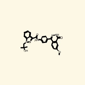 COc1ccc2c(-c3ccc(NC(=O)c4nn(CC(C)(C)O)c5ccccc45)cc3)n[nH]c(=O)c2c1